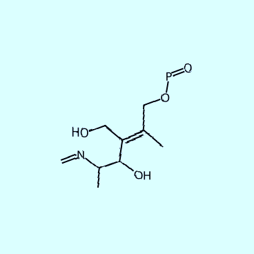 C=NC(C)C(O)/C(CO)=C(\C)COP=O